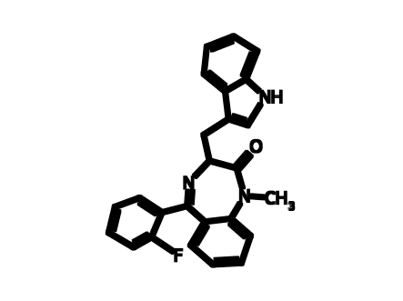 CN1C(=O)C(Cc2c[nH]c3ccccc23)N=C(c2ccccc2F)c2ccccc21